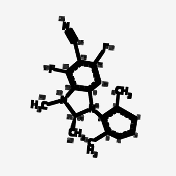 Cc1cccc(C)c1N1c2cc(F)c(C#N)c(F)c2N(C)[C@@H]1C